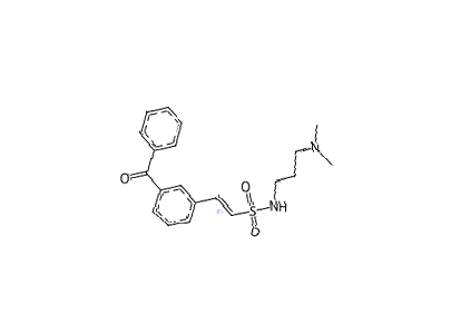 CN(C)CCCNS(=O)(=O)/C=C/c1cccc(C(=O)c2ccccc2)c1